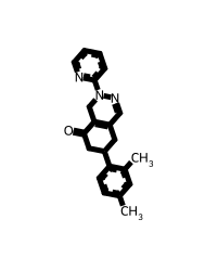 Cc1ccc(C2CC(=O)C3=C(C=NN(c4ccccn4)C3)C2)c(C)c1